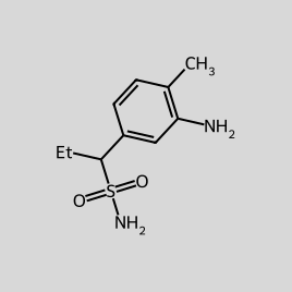 CCC(c1ccc(C)c(N)c1)S(N)(=O)=O